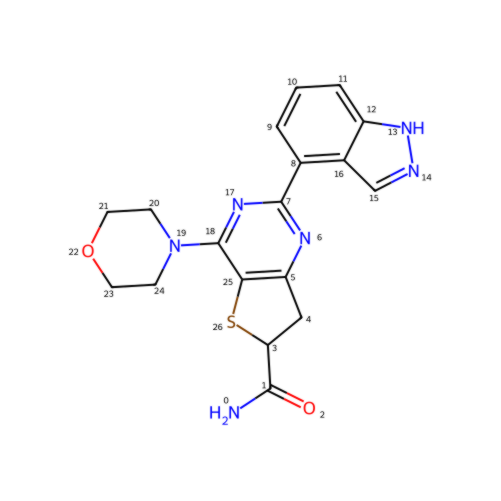 NC(=O)C1Cc2nc(-c3cccc4[nH]ncc34)nc(N3CCOCC3)c2S1